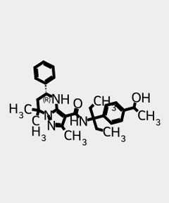 CCC(CC)(NC(=O)c1c(C)nn2c1N[C@@H](c1ccccc1)CC2(C)C)c1ccc(C(C)O)cc1